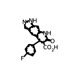 O=C(O)c1c(-c2ccc(F)cc2)c2cc3cn[nH]c3cc2[nH]c1=O